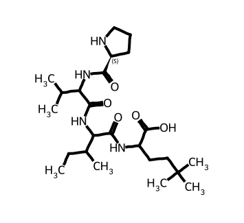 CCC(C)C(NC(=O)C(NC(=O)[C@@H]1CCCN1)C(C)C)C(=O)NC(CCC(C)(C)C)C(=O)O